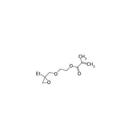 C=C(C)C(=O)OCCOCC1(CC)CO1